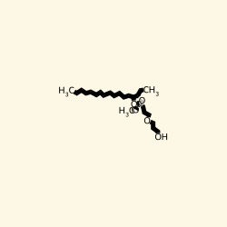 CCCCCCCCCCCCCC1O[Si](CCCOCCCO)(OC)OC1CC